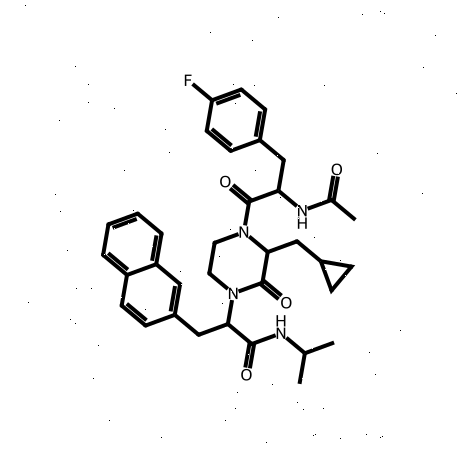 CC(=O)NC(Cc1ccc(F)cc1)C(=O)N1CCN(C(Cc2ccc3ccccc3c2)C(=O)NC(C)C)C(=O)C1CC1CC1